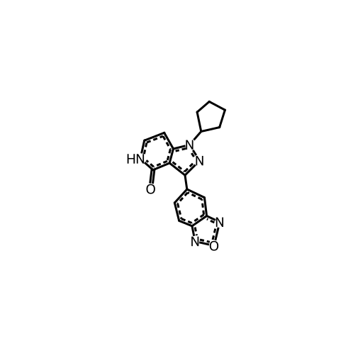 O=c1[nH]ccc2c1c(-c1ccc3nonc3c1)nn2C1CCCC1